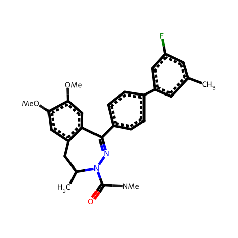 CNC(=O)N1N=C(c2ccc(-c3cc(C)cc(F)c3)cc2)c2cc(OC)c(OC)cc2CC1C